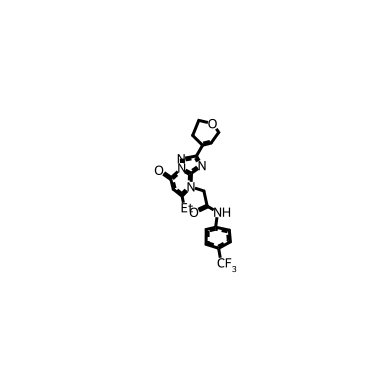 CCc1cc(=O)n2nc(C3=CCOCC3)nc2n1CC(=O)Nc1ccc(C(F)(F)F)cc1